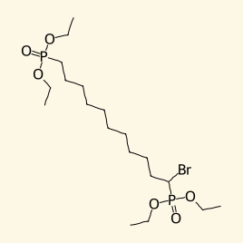 CCOP(=O)(CCCCCCCCCCC(Br)P(=O)(OCC)OCC)OCC